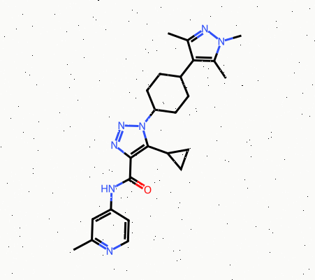 Cc1cc(NC(=O)c2nnn(C3CCC(c4c(C)nn(C)c4C)CC3)c2C2CC2)ccn1